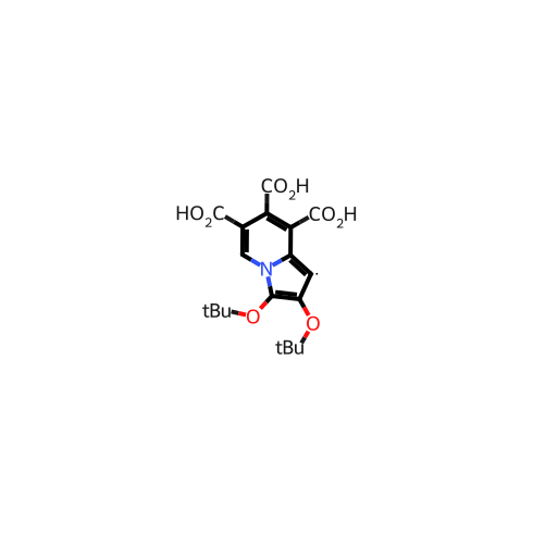 CC(C)(C)Oc1[c]c2c(C(=O)O)c(C(=O)O)c(C(=O)O)cn2c1OC(C)(C)C